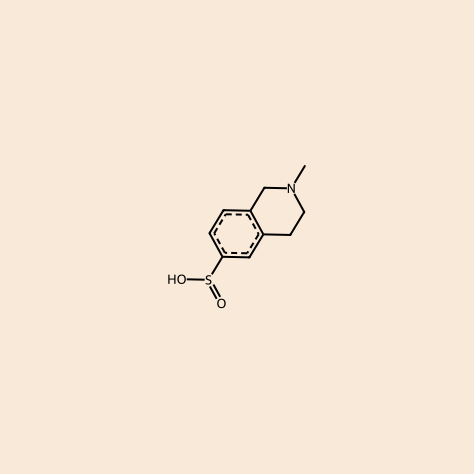 CN1CCc2cc(S(=O)O)ccc2C1